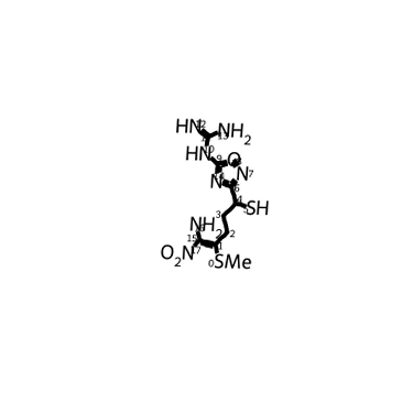 CSC(CCC(S)c1noc(NC(=N)N)n1)=C(N)[N+](=O)[O-]